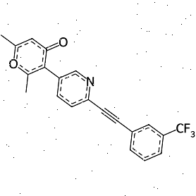 Cc1cc(=O)c(-c2ccc(C#Cc3cccc(C(F)(F)F)c3)nc2)c(C)o1